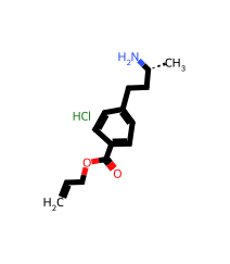 C=CCOC(=O)c1ccc(CC[C@@H](C)N)cc1.Cl